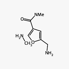 CN.CNC(=O)c1coc(CN)c1